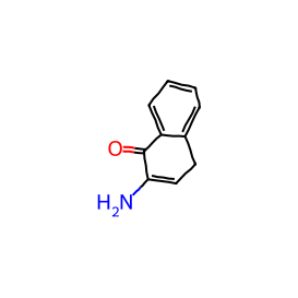 NC1=CCc2ccccc2C1=O